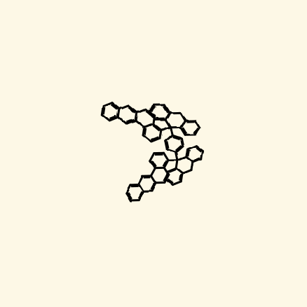 c1ccc2c(c1)Cc1ccccc1C2(c1ccc(C2(c3cccc4c3ccc3cc5ccccc5cc34)c3ccccc3Cc3ccccc32)cc1)c1cccc2c1ccc1cc3ccccc3cc12